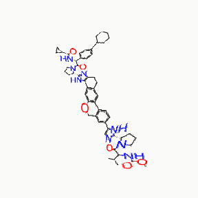 COC(=O)N[C@H](C(=O)N1CCC[C@H]1c1ncc(-c2ccc3c(c2)COc2cc4c(cc2-3)CCc2nc([C@@H]3CCCN3C(=O)[C@H](NC(=O)C3CC3)c3ccc(C5CCCCC5)cc3)[nH]c2-4)[nH]1)C(C)C